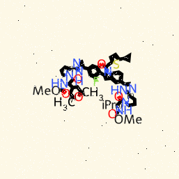 COC(=O)NC(C(=O)N1CCC[C@H]1c1ncc(-c2cc(F)c3c(c2)OC(c2ccc(C4CC4)s2)n2c-3cc3cc(-c4cnc([C@@H]5CCCN5C(=O)[C@@H](NC(=O)OC)C(C)C)[nH]4)ccc32)[nH]1)C1C[C@@H](C)O[C@@H](C)C1